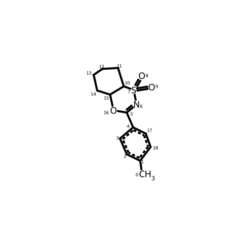 Cc1ccc(C2=NS(=O)(=O)C3CCCCC3O2)cc1